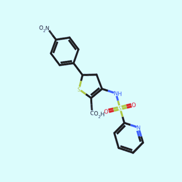 O=C(O)C1=C(NS(=O)(=O)c2ccccn2)CC(c2ccc([N+](=O)[O-])cc2)S1